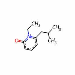 CCn1c(CC(C)C)cccc1=O